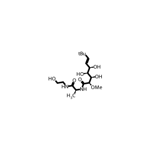 CO[C@@H](C(=O)N[C@@H](C)C(=O)NCCO)[C@H](O)[C@@H](O)[C@H](O)/C=C/C(C)(C)C